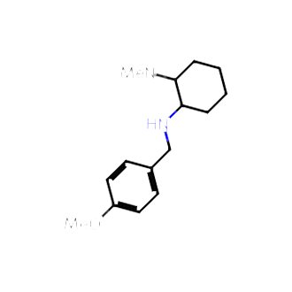 CNC1CCCCC1NCc1ccc(OC)cc1